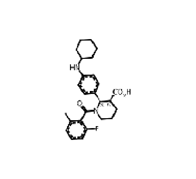 Cc1cccc(F)c1C(=O)N1CCC[C@H](C(=O)O)[C@@H]1c1ccc(NC2CCCCC2)cc1